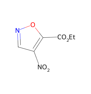 CCOC(=O)c1oncc1[N+](=O)[O-]